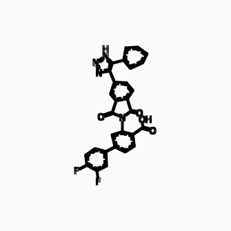 O=C(O)c1ccc(-c2ccc(F)c(F)c2)cc1N1C(=O)c2ccc(-c3nn[nH]c3-c3ccccc3)cc2C1=O